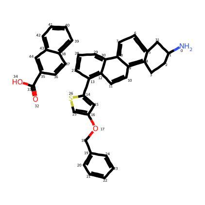 NC1CCc2c(ccc3c2ccc2c(-c4cc(OCc5ccccc5)cs4)cccc23)C1.O=C(O)c1ccc2ccccc2c1